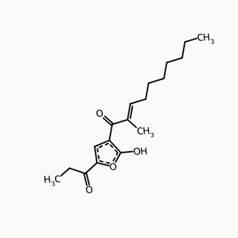 CCCCCCC/C=C(\C)C(=O)c1cc(C(=O)CC)oc1O